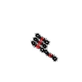 CC(C)(OOC(C)(C)c1ccccc1)c1ccccc1.CC(C)(OOC(C)(C)c1ccccc1)c1ccccc1.CC(C)(OOC(C)(C)c1ccccc1)c1ccccc1.CC(C)(OOC(C)(C)c1ccccc1)c1ccccc1